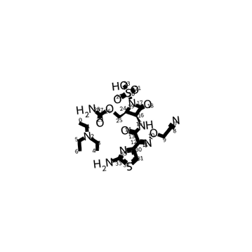 CCN(CC)CC.N#CCO/N=C(\C(=O)N[C@@H]1C(=O)N(S(=O)(=O)O)[C@@H]1COC(N)=O)c1csc(N)n1